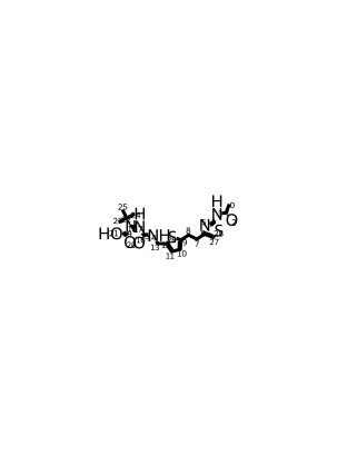 CC(=O)Nc1nc(CCc2ccc(CNC(=O)NN(C(=O)O)C(C)(C)C)s2)cs1